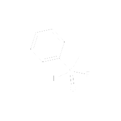 CS(=O)(F)(F)c1ccccc1